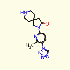 Cc1nc(N2CC3(CCNCC3)CC2=O)ccc1-n1cnnn1